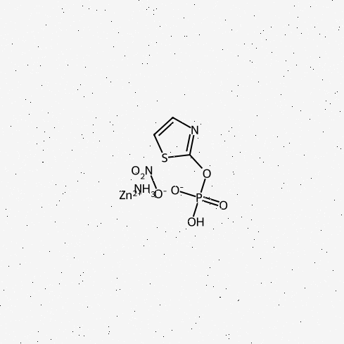 N.O=P([O-])(O)Oc1nccs1.O=[N+]([O-])[O-].[Zn+2]